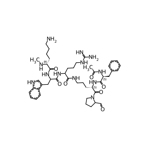 CN[C@H](CCCCN)C(=O)NC(Cc1c[nH]c2ccccc12)C(=O)NC(CCCNC(=N)N)C(=O)NCCC[C@H](NC(=O)[C@H](Cc1ccccc1)NC(C)=O)C(=O)N1CCCC1C=O